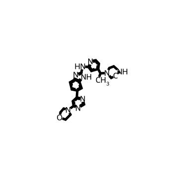 CC(c1ccnc(Nc2nc3ccc(-c4cc(N5CCOCC5)ncn4)cc3[nH]2)c1)N1CCNCC1